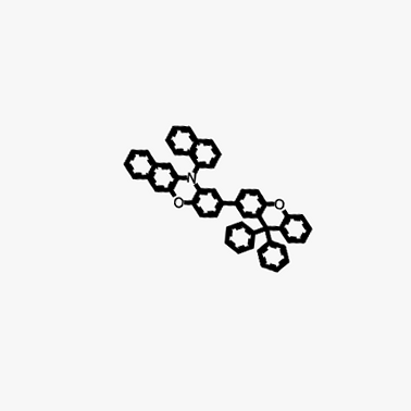 c1ccc(C2(c3ccccc3)c3ccccc3Oc3ccc(-c4ccc5c(c4)N(c4cccc6ccccc46)c4cc6ccccc6cc4O5)cc32)cc1